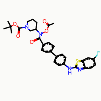 CC(=O)ON(C(=O)c1ccc(-c2ccc(Nc3nc4ccc(F)cc4s3)cc2)cc1)C1CCCN(C(=O)OC(C)(C)C)C1